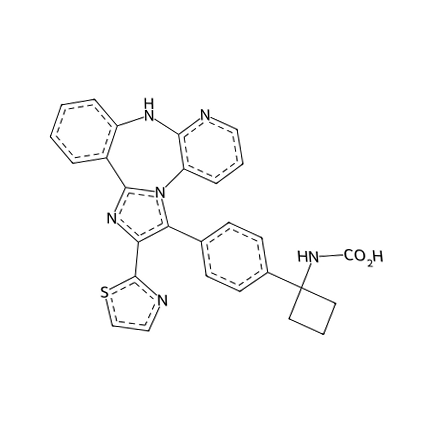 O=C(O)NC1(c2ccc(-c3c(-c4nccs4)nc4n3-c3cccnc3Nc3ccccc3-4)cc2)CCC1